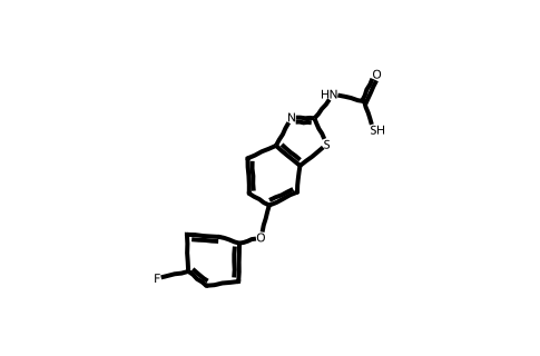 O=C(S)Nc1nc2ccc(Oc3ccc(F)cc3)cc2s1